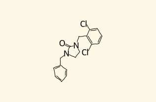 O=C1N(Cc2ccccc2)CCN1Cc1c(Cl)cccc1Cl